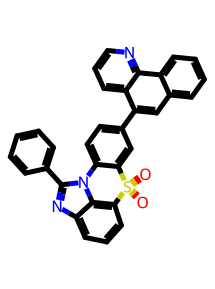 O=S1(=O)c2cc(-c3cc4ccccc4c4ncccc34)ccc2-n2c(-c3ccccc3)nc3cccc1c32